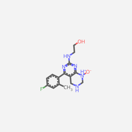 Cc1cc(F)ccc1-c1nc(NCCO)nc2c1CNC[NH+]2[O-]